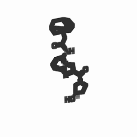 O=C(CC12CC3CC(CC(C3)C1)C2)Nc1cccc2nc(C(=O)N3CC[C@H](O)C3)cn12